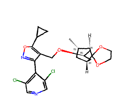 C[C@H]1C[C@@H]2C[C@@H](OCc3c(-c4c(Cl)cncc4Cl)noc3C3CC3)C[C@H]1C21OCCO1